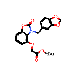 CC(C)(C)OC(=O)COc1cccc2oc(=O)n(Cc3ccc4c(c3)OCO4)c12